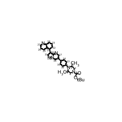 C[C@@H]1CN(C(=O)OC(C)(C)C)C[C@H](C)N1c1ccc(-c2cnc3c(-c4cccc5ncccc45)cnn3c2)cc1